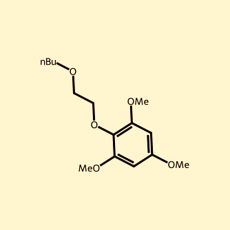 CCCCOCCOc1c(OC)cc(OC)cc1OC